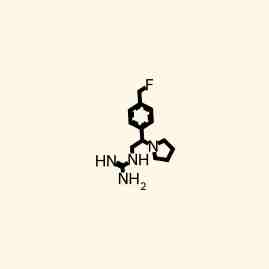 N=C(N)NCC(c1ccc(CF)cc1)N1CCCC1